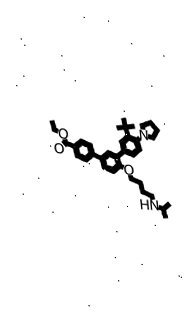 CCOC(=O)c1ccc(-c2ccc(OCCCCNC(C)C)c(-c3ccc(N4CCCC4)c(C(C)(C)C)c3)c2)cc1